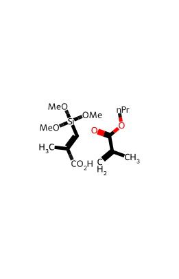 C=C(C)C(=O)OCCC.CO[Si](C=C(C)C(=O)O)(OC)OC